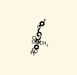 Cn1c(CN2CCC(CCOc3ccc(F)cc3)CC2)c(Cl)c(=O)n1-c1ccc(OC(F)(F)F)cc1